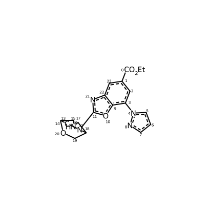 CCOC(=O)c1cc(-n2cccn2)c2oc(N3CC4CNCC3CO4)nc2c1